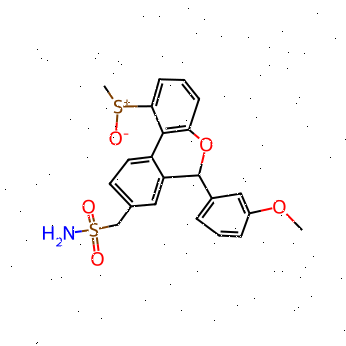 COc1cccc(C2Oc3cccc([S+](C)[O-])c3-c3ccc(CS(N)(=O)=O)cc32)c1